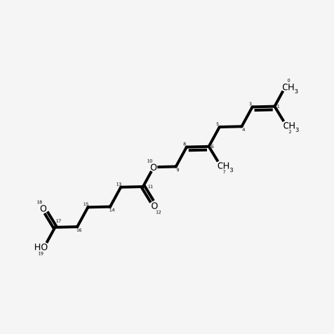 CC(C)=CCC/C(C)=C/COC(=O)CCCCC(=O)O